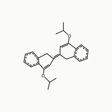 CC(C)OC1=CC(=C2C=C(OC(C)C)c3ccccc3C2)Cc2ccccc21